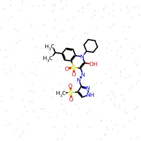 CC(C)c1ccc2c(c1)S(=O)(=O)C(N=Nc1n[nH]cc1S(C)(=O)=O)=C(O)N2C1CCCCC1